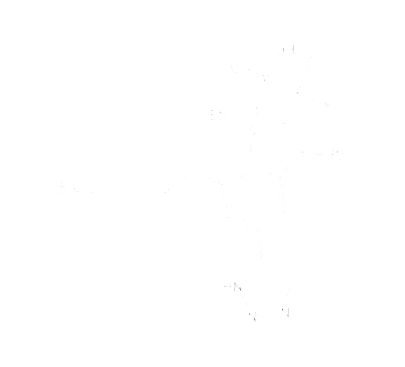 CCOP(=O)(O)C(F)(F)c1sc2c(OCCCC(F)(F)F)cc(-c3cnn[nH]3)cc2c1Br